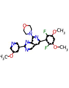 COc1cncc(-c2ncc3cc(-c4c(F)c(OC)cc(OC)c4F)nc(N4CCOCC4)c3n2)c1